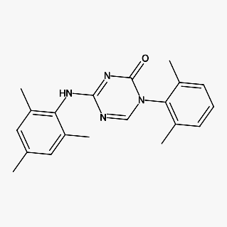 Cc1cc(C)c(Nc2ncn(-c3c(C)cccc3C)c(=O)n2)c(C)c1